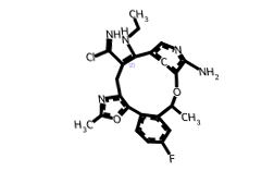 CCN/C1=C(\C(=N)Cl)Cc2nc(C)oc2-c2ccc(F)cc2C(C)Oc2cc1cnc2N